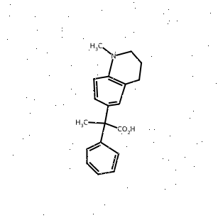 CN1CCCc2cc(C(C)(C(=O)O)c3ccccc3)ccc21